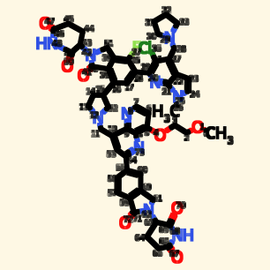 COCCOc1ccnc2c(CN3CCC(c4cc(-c5nc6c(ccn6C)c(CN6CCCC6)c5Cl)c(F)c5c4C(=O)N(C4CCC(=O)NC4=O)C5)C3)cc(-c3ccc4c(c3)CN(C3CCC(=O)NC3=O)C4=O)nc12